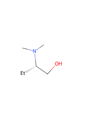 CC[C@@H](CO)N(C)C